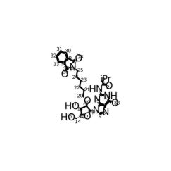 CC(C)C(=O)Nc1nc2c(ncn2[C@@H]2O[C@H](CO)C(O)C2OCCCCCCN2C(=O)c3ccccc3C2=O)c(=O)[nH]1